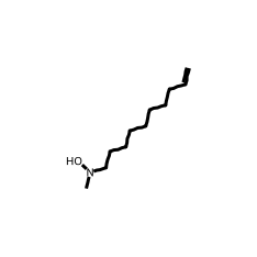 C=CCCCCCCCCN(C)O